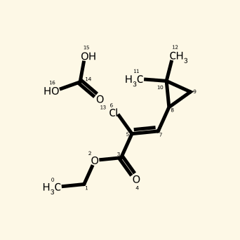 CCOC(=O)C(Cl)=CC1CC1(C)C.O=C(O)O